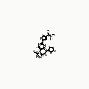 CNC(=O)c1cnn(-c2ncc3c(n2)N(C2CCCC2)Cc2nnc(C)n2-3)c1